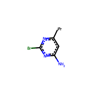 CC(C)c1cc(N)nc(Br)n1